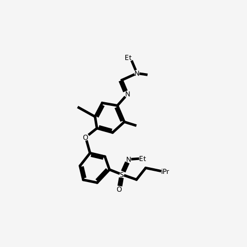 CCN=S(=O)(CCC(C)C)c1cccc(Oc2cc(C)c(/N=C/N(C)CC)cc2C)c1